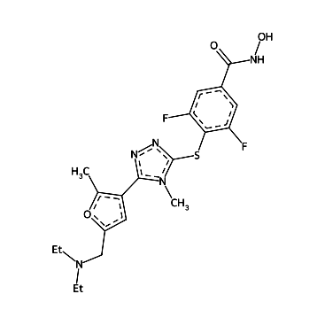 CCN(CC)Cc1cc(-c2nnc(Sc3c(F)cc(C(=O)NO)cc3F)n2C)c(C)o1